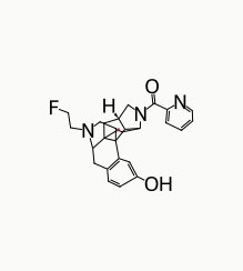 O=C(c1ccccn1)N1C[C@H]2CC34CCC1C2C31CCN(CCF)C4Cc2ccc(O)cc21